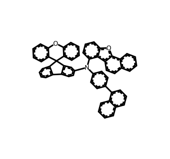 c1ccc2c(c1)Oc1ccccc1C21c2ccccc2-c2ccc(N(c3ccc(-c4cccc5ccccc45)cc3)c3cccc4oc5c6ccccc6ccc5c34)cc21